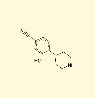 Cl.N#Cc1ccc(C2CCNCC2)cc1